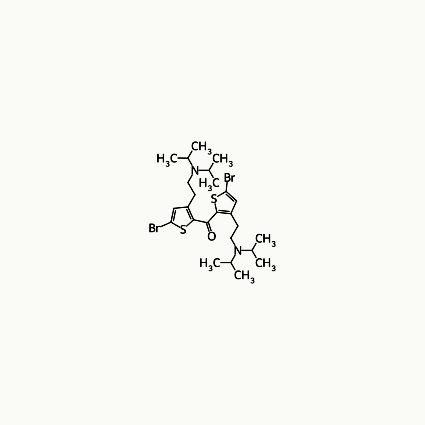 CC(C)N(CCc1cc(Br)sc1C(=O)c1sc(Br)cc1CCN(C(C)C)C(C)C)C(C)C